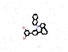 Brc1cc(Br)cc(-c2ccc3c(c2)N(c2ccc4ccccc4c2)c2cccc4cccc-3c24)c1